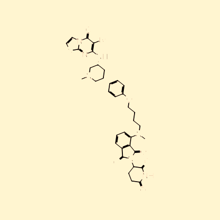 CN1C[C@H](Nc2nc3sccn3c(=O)c2Br)C[C@H](c2ccc(OCCCCN(C)c3cccc4c3C(=O)N(C3CCC(=O)NC3=O)C4=O)cc2)C1